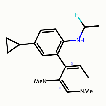 C/C=C(\C(=C/NC)NC)c1cc(C2CC2)ccc1NC(C)F